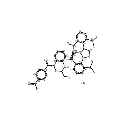 CCC1CN(C(=O)c2ccc([N+](=O)[O-])cc2)c2cccc(/[CH]=[Ru]/[CH]3N(c4c(C(C)C)cccc4C(C)C)CCN3c3c(C(C)C)cccc3C(C)C)c2O1.[Cl-]